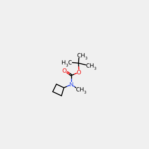 CN(C(=O)OC(C)(C)C)C1CCC1